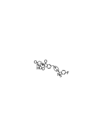 O=C1CCN(N2C(=O)c3ccc(CN4CCN(c5nsc6cc(F)ccc56)CC4)cc3C2=O)C(=O)N1